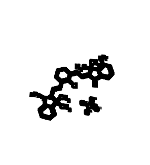 CCCc1cccc2c1C(C)(C)C(=CC=C1CCCC(C=CC3=[N+](CCC)c4ccccc4C3(C)C)=C1Cl)N2.[O-][Cl+3]([O-])([O-])[O-]